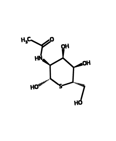 CC(=O)N[C@H]1[C@@H](O)[C@@H](O)[C@H](CO)S[C@@H]1O